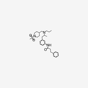 CCCN(CC1CCN(S(C)(=O)=O)CC1)C(C)Cc1cccc(NC(=O)CCc2ccccc2)c1